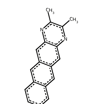 Cc1nc2cc3cc4ccccc4cc3cc2nc1C